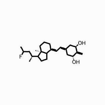 C=C1[C@H](O)CC(=C/C=C2\CCC[C@@]3(C)C2CCC3[C@@H](C)CC(C)F)C[C@H]1O